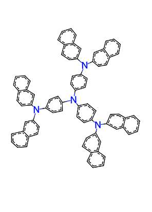 c1ccc2cc(N(c3ccc(N(c4ccc(N(c5ccc6ccccc6c5)c5ccc6ccccc6c5)cc4)c4ccc(N(c5ccc6ccccc6c5)c5ccc6ccccc6c5)cc4)cc3)c3ccc4ccccc4c3)ccc2c1